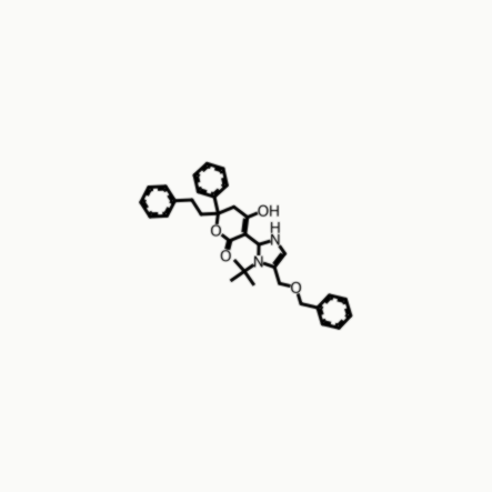 CC(C)(C)N1C(COCc2ccccc2)=CNC1C1=C(O)CC(CCc2ccccc2)(c2ccccc2)OC1=O